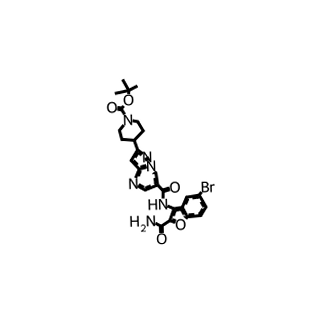 CC(C)(C)OC(=O)N1CCC(c2cc3ncc(C(=O)Nc4c(C(N)=O)oc5ccc(Br)cc45)cn3n2)CC1